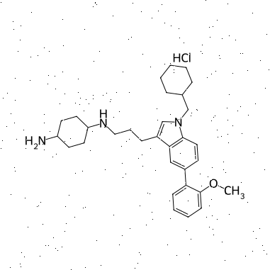 COc1ccccc1-c1ccc2c(c1)c(CCCNC1CCC(N)CC1)cn2CC1CCCCC1.Cl